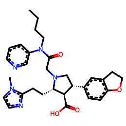 CCCCN(C(=O)CN1C[C@H](c2ccc3c(c2)CCO3)[C@@H](C(=O)O)[C@@H]1CCc1nccn1C)c1cccnc1